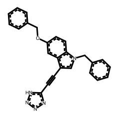 C(#Cc1cn(Cc2ccccc2)c2ccc(OCc3ccccc3)cc12)c1nnn[nH]1